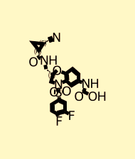 N#C[C@H]1C[C@H]1C(=O)NC[C@H]1CN(S(=O)(=O)c2ccc(F)c(F)c2)c2cc(NC(=O)O)ccc2O1